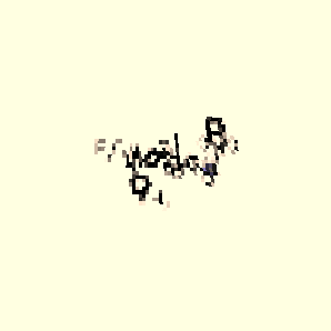 Cc1ccc(-c2cc(C(F)(F)F)nn2-c2ccc(S(=O)(=O)NC(=O)C3CCN(/[N+]([O-])=N\OCN4C(=O)c5ccccc5C4=O)C3)cc2)cc1